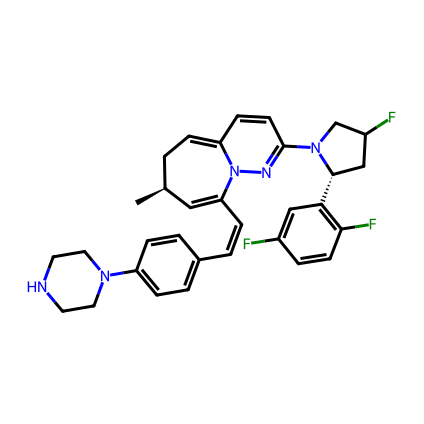 C[C@@H]1C=C(/C=C\c2ccc(N3CCNCC3)cc2)N2N=C(N3CC(F)C[C@@H]3c3cc(F)ccc3F)C=CC2=CC1